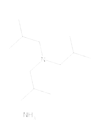 CC(C)CN(CC(C)C)CC(C)C.N